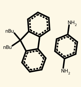 CCCCC1(CCCC)c2ccccc2-c2ccccc21.Nc1ccc(N)cc1